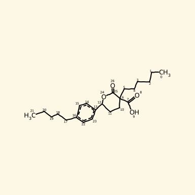 CCCCCCC1(C(=O)O)CCC(c2ccc(CCCCC)cc2)OC1=O